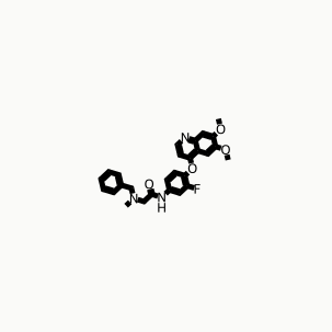 COc1cc2nccc(Oc3ccc(NC(=O)CN(C)Cc4ccccc4)cc3F)c2cc1OC